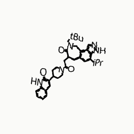 CC(C)c1cc2c(c3cn[nH]c13)CN(CC(C)(C)C)C(=O)C(CC(=O)N1CCC(c3cc4ccccc4[nH]c3=O)CC1)C2